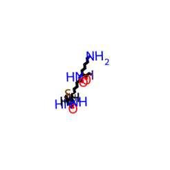 NCCCCCC(NC(=O)CCCC[C@@H]1SC[C@@H]2NC(=O)N[C@@H]21)C(=O)CI